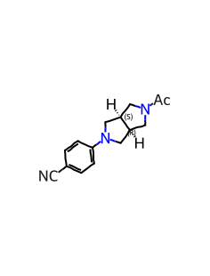 CC(=O)N1C[C@@H]2CN(c3ccc(C#N)cc3)C[C@@H]2C1